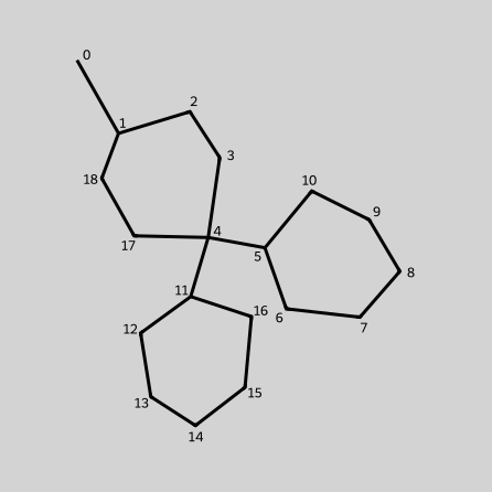 CC1CCC(C2CCCCC2)(C2CCCCC2)CC1